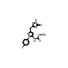 CC(C)(C)OC(=O)Nc1cc(Cc2n[nH]c(=O)s2)nn1-c1ccc(F)cc1